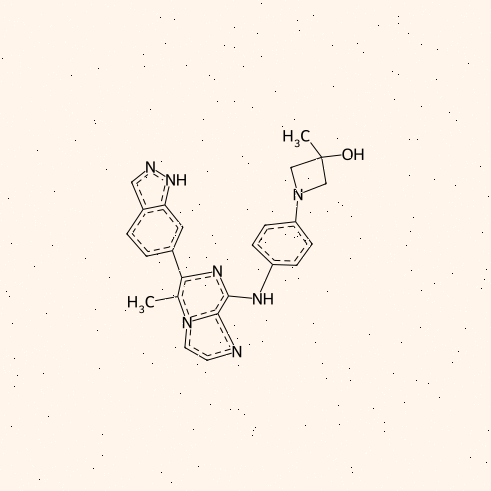 Cc1c(-c2ccc3cn[nH]c3c2)nc(Nc2ccc(N3CC(C)(O)C3)cc2)c2nccn12